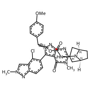 COc1ccc(Cn2nc3nc(N4[C@@H]5CC[C@H]4C[C@@H](NC(=O)OC(C)(C)C)C5)n(C)c(=O)c3c2-c2ccc3nn(C)cc3c2Cl)cc1